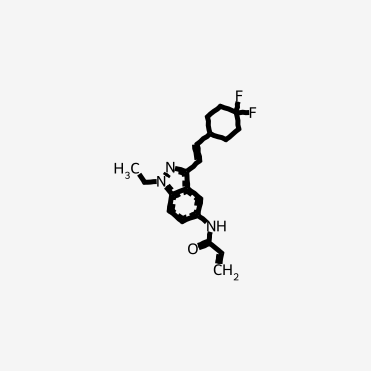 C=CC(=O)Nc1ccc2c(c1)c(C=CC1CCC(F)(F)CC1)nn2CC